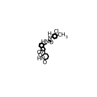 Cc1ccc(NC(=O)NCc2cccc3c2CN(C2CCCC(=O)NC2=O)C3=O)cc1Cl